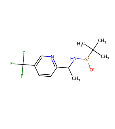 CC(N[S@@+]([O-])C(C)(C)C)c1ccc(C(F)(F)F)cn1